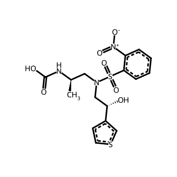 C[C@H](CN(C[C@H](O)c1ccsc1)S(=O)(=O)c1ccccc1[N+](=O)[O-])NC(=O)O